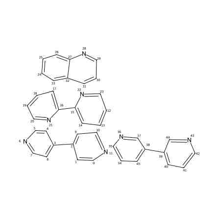 c1cc(-c2ccncc2)ccn1.c1ccc(-c2ccccn2)nc1.c1ccc2ncccc2c1.c1cncc(-c2cccnc2)c1